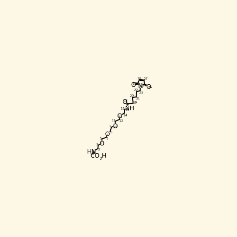 O=C(O)NCCOCCOCCOCCOCCNC(=O)CCCCCN1C(=O)C=CC1=O